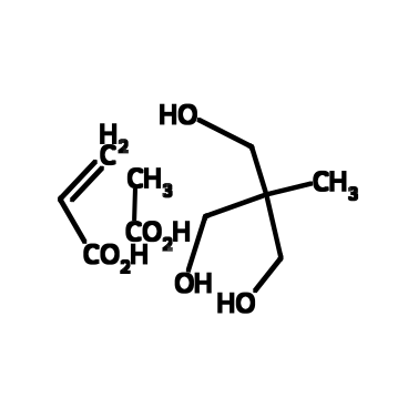 C=CC(=O)O.CC(=O)O.CC(CO)(CO)CO